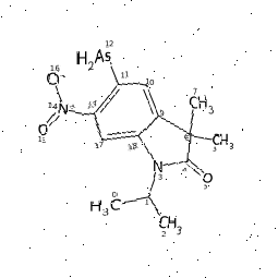 CC(C)N1C(=O)C(C)(C)c2cc([AsH2])c([N+](=O)[O-])cc21